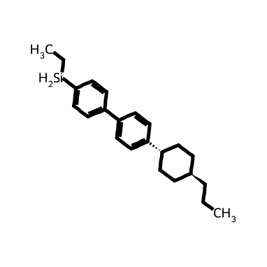 CCC[C@H]1CC[C@H](c2ccc(-c3ccc([SiH2]CC)cc3)cc2)CC1